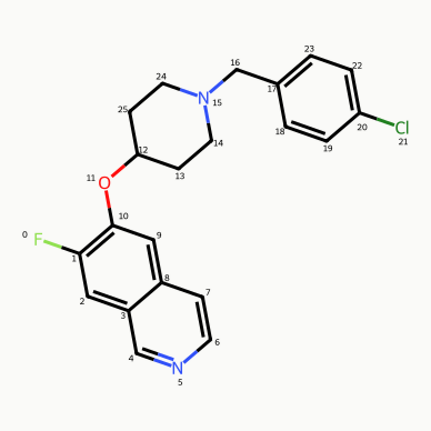 Fc1cc2cnccc2cc1OC1CCN(Cc2ccc(Cl)cc2)CC1